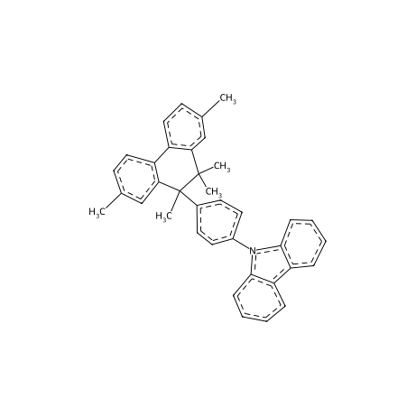 Cc1ccc2c(c1)C(C)(C)C(C)(c1ccc(-n3c4ccccc4c4ccccc43)cc1)c1cc(C)ccc1-2